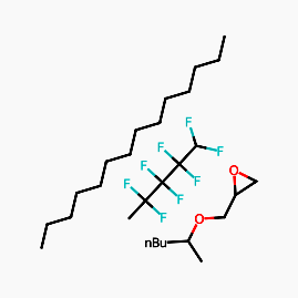 CC(F)(F)C(F)(F)C(F)(F)C(F)F.CCCCC(C)OCC1CO1.CCCCCCCCCCCCCC